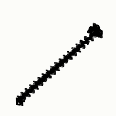 CO[Si](CCCCCCCCCCCCCCCCCCCCCCCCCCCCCCCCCCCCBr)(OC)OC